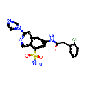 NS(=O)(=O)c1cc(NC(=O)Cc2ccccc2Cl)cc2cc(-n3ccnc3)ncc12